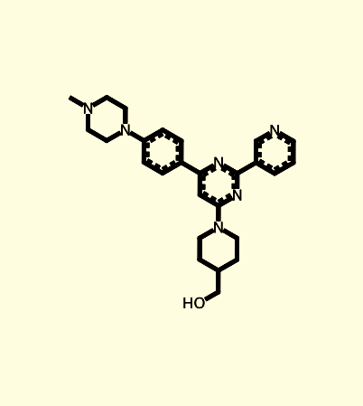 CN1CCN(c2ccc(-c3cc(N4CCC(CO)CC4)nc(-c4cccnc4)n3)cc2)CC1